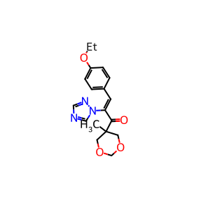 CCOc1ccc(C=C(C(=O)C2(C)COCOC2)n2cncn2)cc1